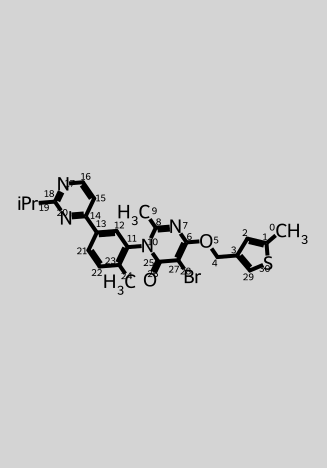 Cc1cc(COc2nc(C)n(-c3cc(-c4ccnc(C(C)C)n4)ccc3C)c(=O)c2Br)cs1